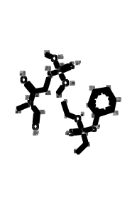 CCOP(=S)(CC)Sc1ccccc1.COP(=S)(OC)SCC(=O)N(C)C=O